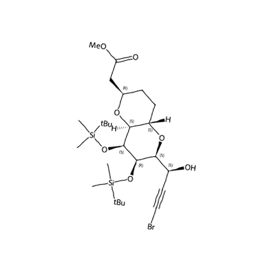 COC(=O)C[C@H]1CC[C@@H]2O[C@@H]([C@@H](O)C#CBr)[C@@H](O[Si](C)(C)C(C)(C)C)[C@@H](O[Si](C)(C)C(C)(C)C)[C@H]2O1